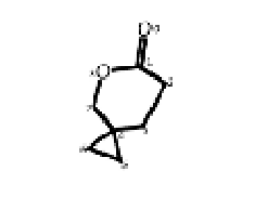 O=C1CCC2(CC2)CO1